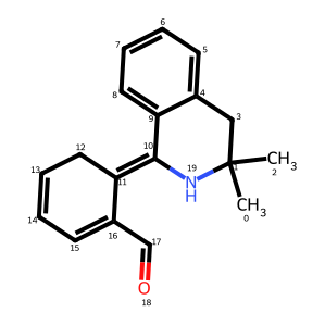 CC1(C)Cc2ccccc2C(=C2CC=CC=C2C=O)N1